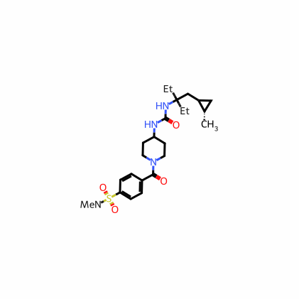 CCC(CC)(CC1C[C@@H]1C)NC(=O)NC1CCN(C(=O)c2ccc(S(=O)(=O)NC)cc2)CC1